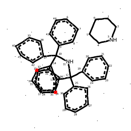 C1CCNCC1.c1ccc(C(NC(c2ccccc2)(c2ccccc2)c2ccccc2)(c2ccccc2)c2ccccc2)cc1